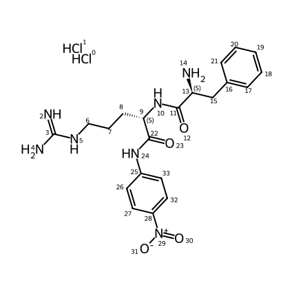 Cl.Cl.N=C(N)NCCC[C@H](NC(=O)[C@@H](N)Cc1ccccc1)C(=O)Nc1ccc([N+](=O)[O-])cc1